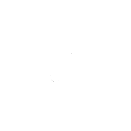 Cc1ccc(-c2c(C)noc2C)cc1N[C@@H](C)C(C)C